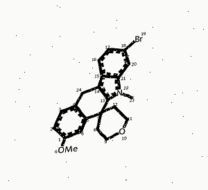 COc1ccc2c(c1)C1(CCOCC1)c1c(c3ccc(Br)cc3n1C)C2